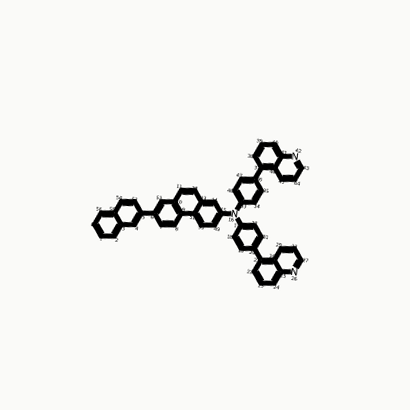 c1ccc2cc(-c3ccc4c(ccc5cc(N(c6ccc(-c7cccc8ncccc78)cc6)c6ccc(-c7cccc8ncccc78)cc6)ccc54)c3)ccc2c1